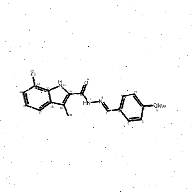 COc1ccc(C=NNC(=O)c2[nH]c3c(Cl)cccc3c2C)cc1